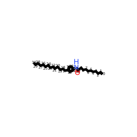 C=CCCCCCCCCC(=O)Nc1ccc(CCCCCCCCCCCCCC)cc1